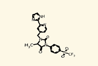 CC1C(=O)N(c2ccc(S(=O)(=O)C(F)(F)F)cc2)C(=O)N1Cc1ccnc(-c2ncc[nH]2)c1